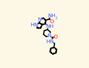 NC(=O)c1cnc2[nH]ccc2c1NC1CCCN(C(=O)NCc2ccccc2)C1